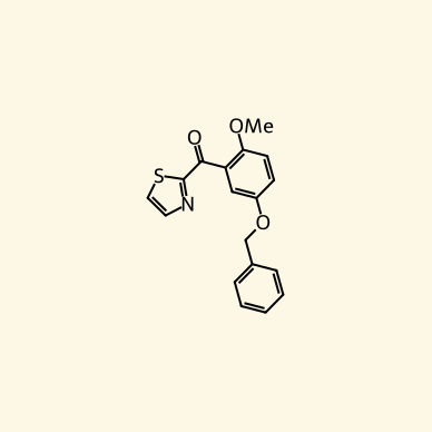 COc1ccc(OCc2ccccc2)cc1C(=O)c1nccs1